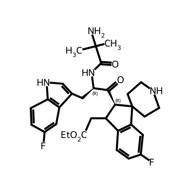 CCOC(=O)CC1c2ccc(F)cc2C2(CCNCC2)[C@@H]1C(=O)[C@@H](Cc1c[nH]c2ccc(F)cc12)NC(=O)C(C)(C)N